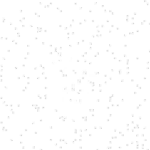 Cc1cc(C(C)Nc2ccccc2C(=O)O)c2nc(N3C[C@@H]4[C@H](C3)[C@@H]4C(=O)N3CCC[C@@H]3C)n(C)c(=O)c2c1